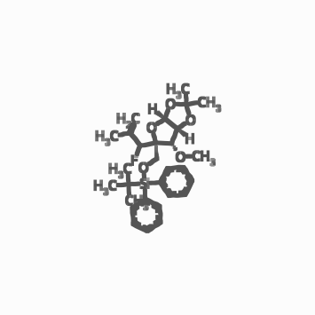 C=C(C)C(F)[C@]1(CO[Si](c2ccccc2)(c2ccccc2)C(C)(C)C)O[C@@H]2OC(C)(C)O[C@@H]2[C@@H]1OC